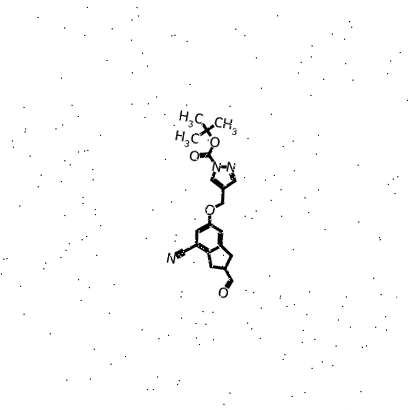 CC(C)(C)OC(=O)n1cc(COc2cc(C#N)c3c(c2)CC(C=O)C3)cn1